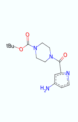 CC(C)(C)OC(=O)N1CCN(C(=O)c2cc(N)ccn2)CC1